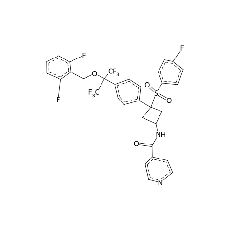 O=C(NC1CC(c2ccc(C(OCc3c(F)cccc3F)(C(F)(F)F)C(F)(F)F)cc2)(S(=O)(=O)c2ccc(F)cc2)C1)c1ccncc1